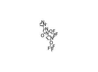 Cn1nccc1-c1cc(=O)n(-c2ccc(OCC(F)(F)F)nc2)c(OCC(F)(F)F)n1